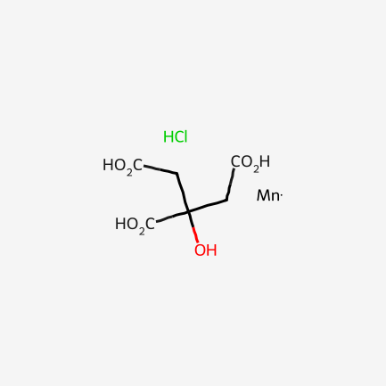 Cl.O=C(O)CC(O)(CC(=O)O)C(=O)O.[Mn]